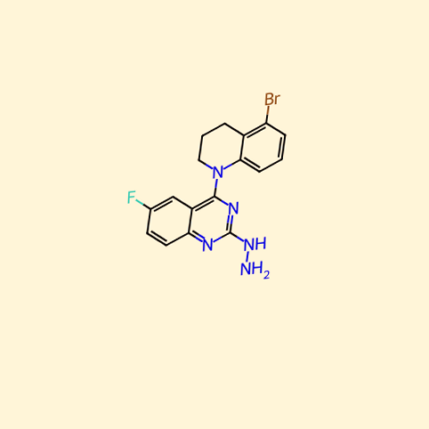 NNc1nc(N2CCCc3c(Br)cccc32)c2cc(F)ccc2n1